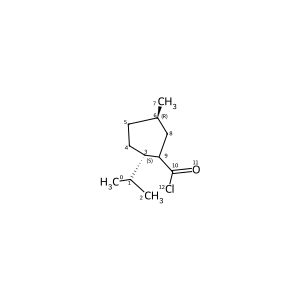 CC(C)[C@@H]1CC[C@@H](C)CC1C(=O)Cl